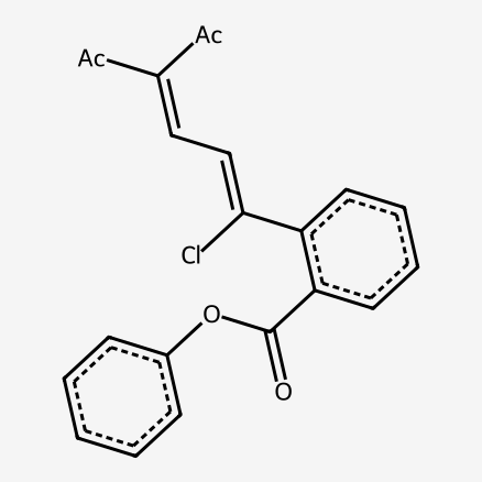 CC(=O)C(=CC=C(Cl)c1ccccc1C(=O)Oc1ccccc1)C(C)=O